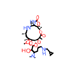 CO[C@]1(C)C[C@@H](C)CN[C@H](C)[C@H]2NC(=O)O[C@]2(C)[C@@H](C)OC(=O)C(C)C(=O)[C@H](C)[C@H]1OC1OC(CNCC2CC2)CC(N(C)C)C1O